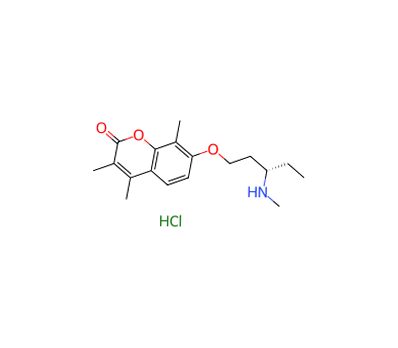 CC[C@@H](CCOc1ccc2c(C)c(C)c(=O)oc2c1C)NC.Cl